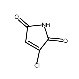 O=C1C=C(Cl)C(=O)N1